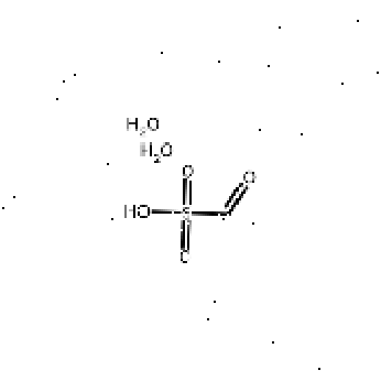 O.O.O=CS(=O)(=O)O